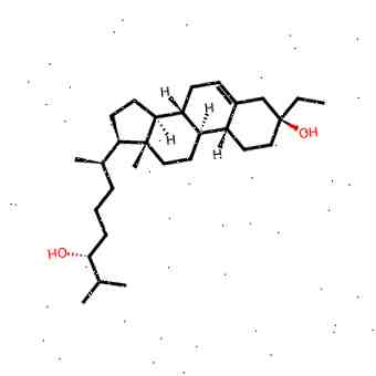 CC[C@]1(O)CC[C@H]2C(=CC[C@@H]3[C@@H]2CC[C@]2(C)[C@@H]([C@H](C)CCC[C@@H](O)C(C)C)CC[C@@H]32)C1